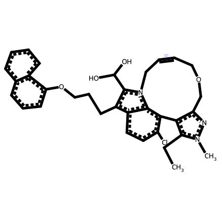 CCc1c2c(nn1C)COC/C=C\Cn1c(C(O)O)c(CCCOc3cccc4ccccc34)c3ccc(Cl)c-2c31